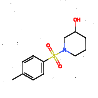 Cc1ccc(S(=O)(=O)N2CCCC(O)C2)cc1